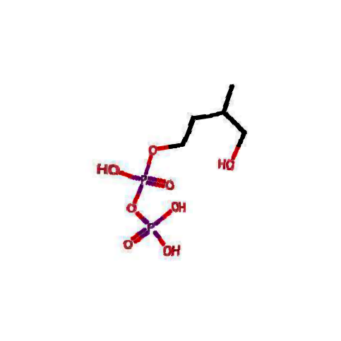 CC(CO)CCOP(=O)(O)OP(=O)(O)O